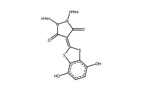 CCCCCCN1C(=O)C(=C2Sc3c(O)ccc(O)c3S2)C(=O)N1CCCCCC